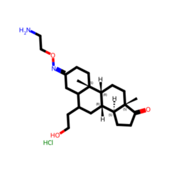 C[C@]12CCC(=NOCCN)CC1C(CCO)C[C@@H]1[C@H]2CC[C@]2(C)C(=O)CC[C@@H]12.Cl